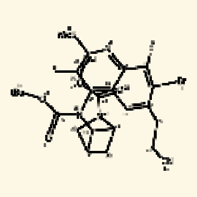 CSc1nc2c(F)c(Br)c(CCC#N)cc2c(N(C(=O)OC(C)(C)C)C2C3CC2N(C(=O)OC(C)(C)C)C3)c1C